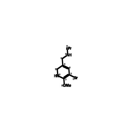 CCCNCC1=CC(Br)=C(OC)NC1